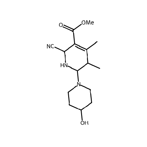 COC(=O)C1=C(C)C(C)C(N2CCC(O)CC2)NC1C#N